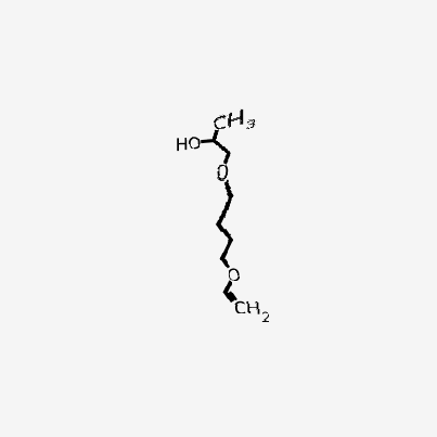 C=COCCCCOCC(C)O